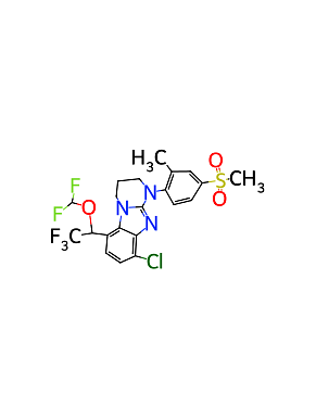 Cc1cc(S(C)(=O)=O)ccc1N1CCCn2c1nc1c(Cl)ccc(C(OC(F)F)C(F)(F)F)c12